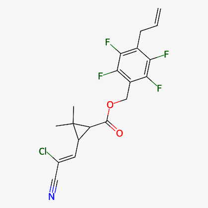 C=CCc1c(F)c(F)c(COC(=O)C2C(C=C(Cl)C#N)C2(C)C)c(F)c1F